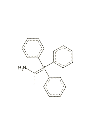 CC(N)=P(c1ccccc1)(c1ccccc1)c1ccccc1